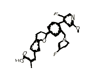 COc1cc(-c2ccc(C3CCc4ccc(CC(C)C(=O)O)cc4O3)cc2CN2CCC(F)C2)c(F)cn1